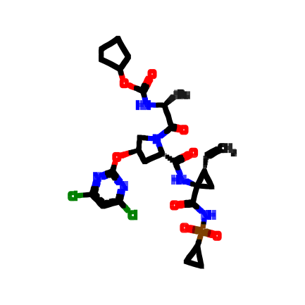 C=C[C@@H]1C[C@]1(NC(=O)[C@@H]1C[C@@H](Oc2nc(Cl)cc(Cl)n2)CN1C(=O)[C@@H](NC(=O)OC1CCCC1)C(C)(C)C)C(=O)NS(=O)(=O)C1CC1